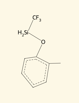 Cc1ccccc1O[SiH2]C(F)(F)F